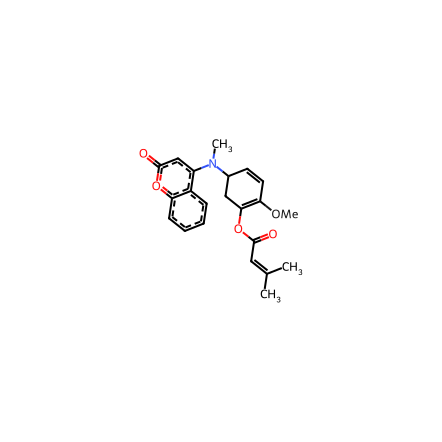 COC1=C(OC(=O)C=C(C)C)CC(N(C)c2cc(=O)oc3ccccc23)C=C1